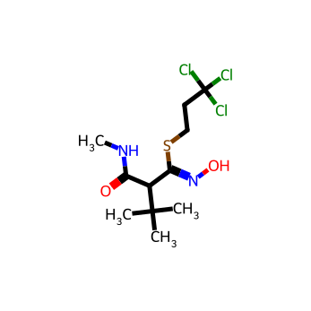 CNC(=O)C(C(=NO)SCCC(Cl)(Cl)Cl)C(C)(C)C